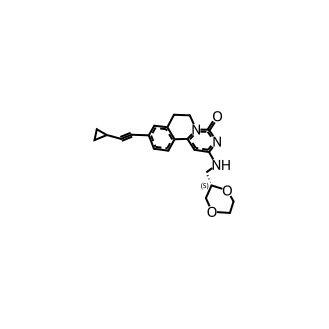 O=c1nc(NC[C@H]2COCCO2)cc2n1CCc1cc(C#CC3CC3)ccc1-2